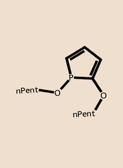 CCCCCOc1cccp1OCCCCC